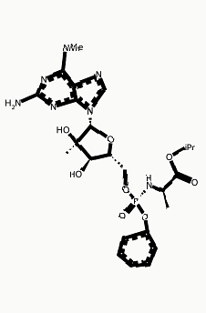 CNc1nc(N)nc2c1ncn2[C@@H]1O[C@H](CO[P@@](=O)(N[C@H](C)C(=O)OC(C)C)Oc2ccccc2)[C@@H](O)[C@@]1(C)O